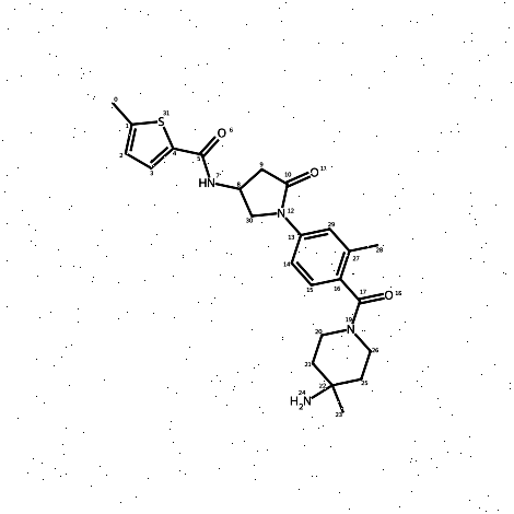 Cc1ccc(C(=O)NC2CC(=O)N(c3ccc(C(=O)N4CCC(C)(N)CC4)c(C)c3)C2)s1